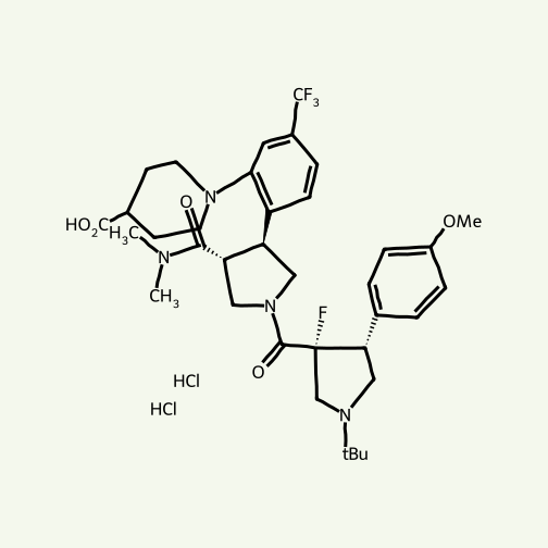 COc1ccc([C@@H]2CN(C(C)(C)C)C[C@@]2(F)C(=O)N2C[C@H](C(=O)N(C)C)[C@@H](c3ccc(C(F)(F)F)cc3N3CCC(C(=O)O)CC3)C2)cc1.Cl.Cl